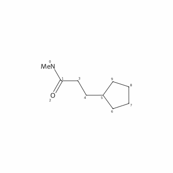 CNC(=O)CCC1CCCC1